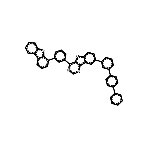 c1ccc(-c2ccc(-c3cccc(-c4ccc5oc6c(-c7cccc(-c8cccc9c8sc8ccccc89)c7)ncnc6c5c4)c3)cc2)cc1